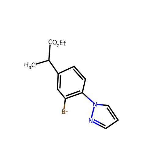 CCOC(=O)C(C)c1ccc(-n2cccn2)c(Br)c1